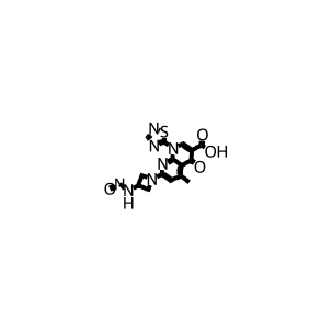 Cc1cc(N2CC(NN=O)C2)nc2c1c(=O)c(C(=O)O)cn2-c1ncns1